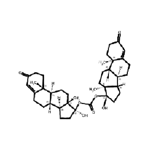 C[C@]12CCC(=O)C=C1CC[C@@H]1[C@@H]2CC[C@@]2(C)[C@H]1CC[C@]2(O)OC(=O)O[C@@]1(O)CC[C@H]2[C@@H]3CCC4=CC(=O)CC[C@]4(C)[C@H]3CC[C@@]21C